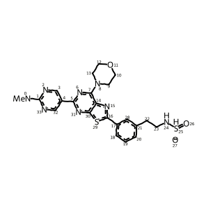 CNc1ncc(-c2nc(N3CCOCC3)c3nc(-c4cccc(CCN[SH](=O)=O)c4)sc3n2)cn1